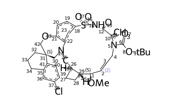 CO[C@@H]1/C=C\CN(C(=O)OC(C)(C)C)[C@@H](C)C(=O)NS(=O)(=O)c2ccc3c(c2)N(C[C@@H]2CC[C@H]21)C[C@@]1(CCCc2cc(Cl)ccc21)CO3